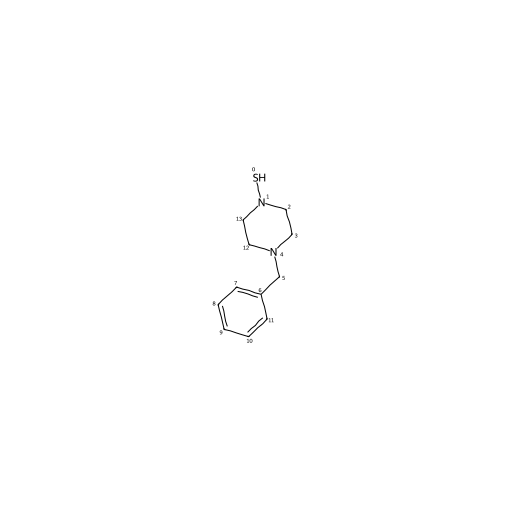 SN1CCN(Cc2ccccc2)CC1